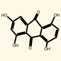 O=C1c2cc(O)cc(O)c2C(=O)c2c(O)ccc(O)c21